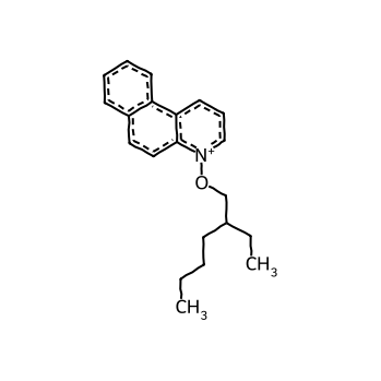 CCCCC(CC)CO[n+]1cccc2c3ccccc3ccc21